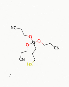 N#CCCO[Si](CCCS)(OCCC#N)OCCC#N